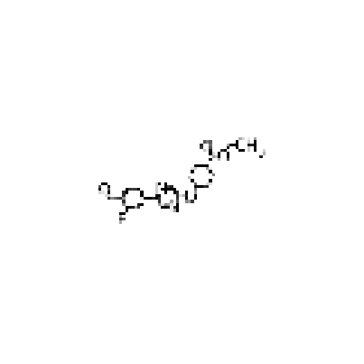 CCOC(=O)[C@H]1CC[C@@H](Oc2cnc(-c3ccc(C=O)c(F)c3)cn2)CC1